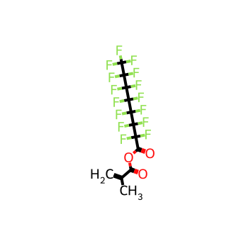 C=C(C)C(=O)OC(=O)C(F)(F)C(F)(F)C(F)(F)C(F)(F)C(F)(F)C(F)(F)C(F)(F)F